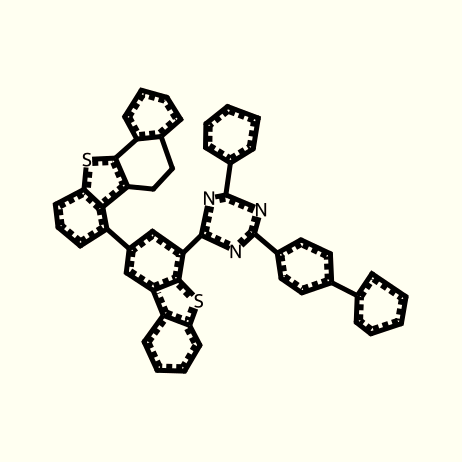 c1ccc(-c2ccc(-c3nc(-c4ccccc4)nc(-c4cc(-c5cccc6sc7c(c56)CCc5ccccc5-7)cc5c4sc4ccccc45)n3)cc2)cc1